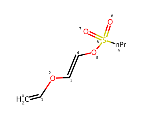 C=COC=COS(=O)(=O)CCC